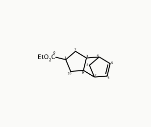 [CH2]COC(=O)C1CC2C3C=CC(C3)C2C1